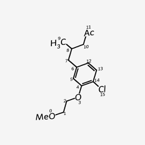 COCCOc1cc(CC(C)CC(C)=O)ccc1Cl